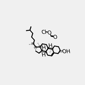 CC(C)CCC[C@@H](C)[C@H]1CC[C@H]2[C@@H]3CC=C4C[C@@H](O)CC[C@]4(C)[C@H]3CC[C@]12C.O=COCl